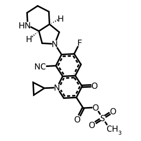 CS(=O)(=O)OC(=O)c1cn(C2CC2)c2c(C#N)c(N3C[C@@H]4CCCN[C@@H]4C3)c(F)cc2c1=O